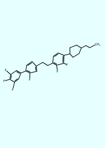 CCCC1CCC(c2ccc(CCc3ccc(-c4cc(F)c(F)c(F)c4)c(F)c3)c(F)c2F)CC1